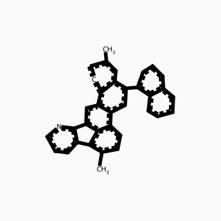 Cc1ccc2c(c1)c(-c1cccc3ccccc13)cc1c3ccc(C)c4c3c(cc21)-c1ncccc1-4